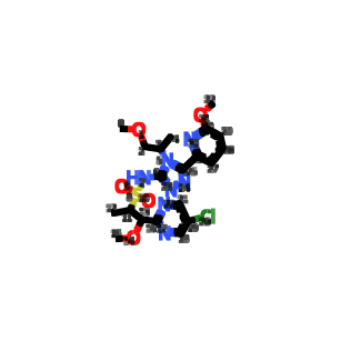 COCC(C)n1c(NS(=O)(=O)C(C)C(OC)c2ncc(Cl)cn2)nnc1-c1cccc(OC)n1